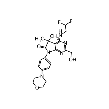 CC1(C)C(=O)N(c2ccc(N3CCOCC3)cc2)c2nc(CO)nc(NCC(F)F)c21